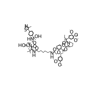 CC[C@H](C(=O)N1CCCC[C@H]1C(=O)O[C@H](CCc1ccc(OC)c(OC)c1)c1ccccc1OCC(=O)NCCCCCCC(=O)N[C@H](C(=O)N1C[C@@H](O)C[C@@H]1C(=O)NC(C)(O)c1ccc(-c2scnc2C)cc1)C(C)(C)C)c1cc(OC)c(OC)c(OC)c1